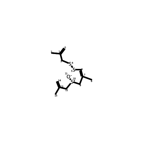 C=C(C)CSS/C=C(/C)C[S+]([O-])CC(=C)C